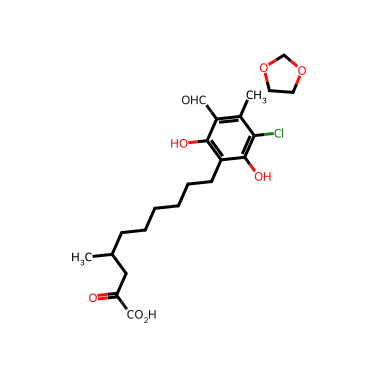 C1COCO1.Cc1c(Cl)c(O)c(CCCCCCC(C)CC(=O)C(=O)O)c(O)c1C=O